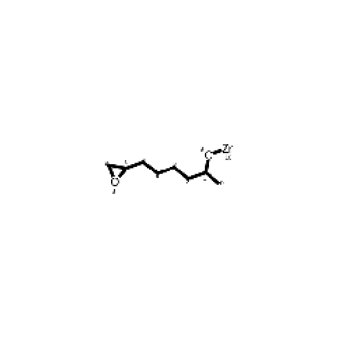 CC(CCCCC1CO1)[O][Zr]